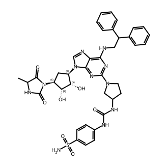 CC1NC(=O)N([C@H]2C[C@@H](n3cnc4c(NCC(c5ccccc5)c5ccccc5)nc(N5CCC(NC(=O)Nc6ccc(S(N)(=O)=O)cc6)C5)nc43)[C@H](O)[C@@H]2O)C1=O